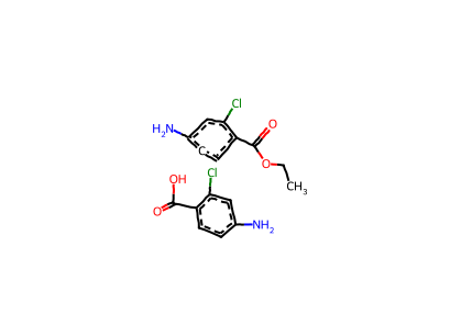 CCOC(=O)c1ccc(N)cc1Cl.Nc1ccc(C(=O)O)c(Cl)c1